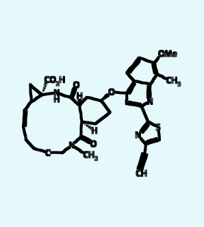 C#Cc1csc(-c2cc(O[C@H]3CC[C@H]4C(=O)N(C)CCCC/C=C\C5C[C@@]5(C(=O)O)NC(=O)[C@@H]4C3)c3ccc(OC)c(C)c3n2)n1